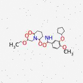 CCOC(=O)CN1C(=O)CC[C@H](NC(=O)c2ccc(OC)c(OC3CCCC3)c2)C1=O